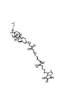 CC(C)CCC[C@@H](C)[C@H]1CC[C@H]2[C@@H]3CC=C4C[C@@H](OCC(=O)NCCOCCCNC(=O)CCCCC5SCC6NC(=O)NC65)CC[C@]4(C)[C@H]3CC[C@]12C